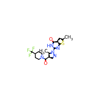 Cc1cc2c(=O)[nH]c(-n3ncc(C(=O)N4CCC(C(F)(F)F)CC4)c3C)nc2s1